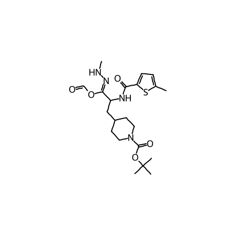 CN/N=C(\OC=O)C(CC1CCN(C(=O)OC(C)(C)C)CC1)NC(=O)c1ccc(C)s1